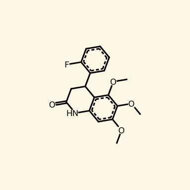 COc1cc2c(c(OC)c1OC)C(c1ccccc1F)CC(=O)N2